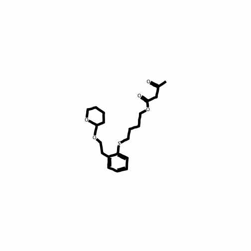 CC(=O)CC(=O)OCCCCSc1ccccc1CCOC1CCCCO1